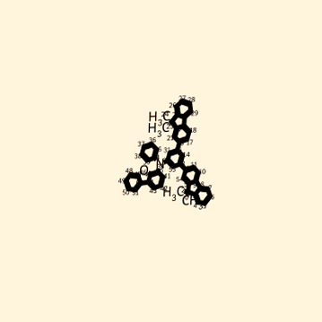 CC1(C)c2ccccc2-c2ccc(-c3cc(-c4ccc5c(c4)C(C)(C)c4ccccc4-5)cc(N(c4ccccc4)c4cccc5c4oc4ccccc45)c3)cc21